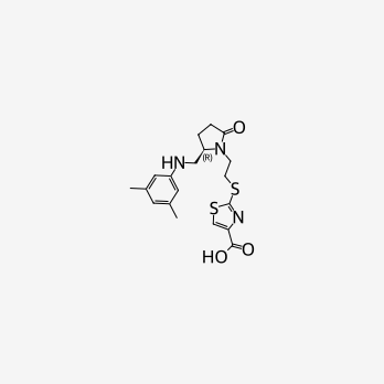 Cc1cc(C)cc(NC[C@H]2CCC(=O)N2CCSc2nc(C(=O)O)cs2)c1